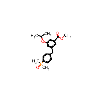 COC(=O)c1cc(Cc2ccc(P(C)(C)=O)cc2)cc(OC(C)C)c1